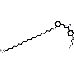 CCCCCCCCCCCCCCCCCCCCCOc1cccc(/C=C/C(=O)c2ccc(SCCC)cc2)c1